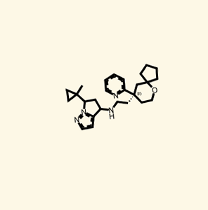 CC1(C2CC(NCC[C@@]3(c4ccccn4)CCOC4(CCCC4)C3)c3ccnn32)CC1